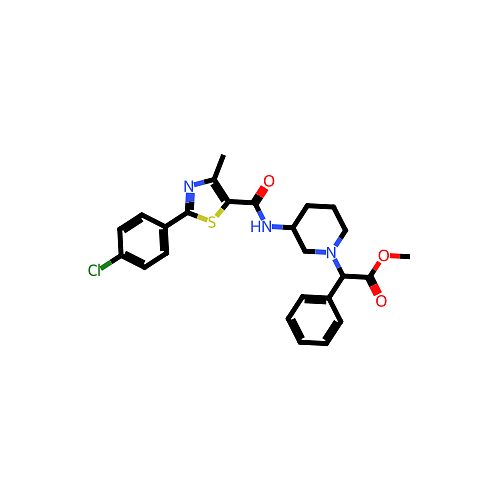 COC(=O)C(c1ccccc1)N1CCCC(NC(=O)c2sc(-c3ccc(Cl)cc3)nc2C)C1